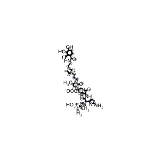 C[C@H]1CN([C@]2(C(=O)[O-])CN3C(=O)[C@@H](NC(=O)/C(=N\OC(C)(C)C(=O)O)c4csc(N)n4)[C@H]3S2)C(=O)N1/N=C/C[n+]1ccn(CCNC(=O)c2ccc(O)c(O)c2Cl)c1